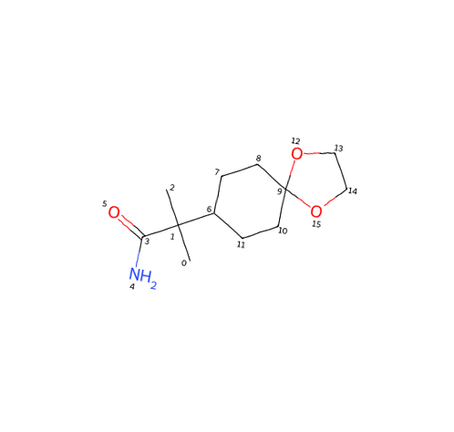 CC(C)(C(N)=O)C1CCC2(CC1)OCCO2